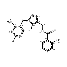 Cc1ncc(Cn2nnc(COC(=O)c3ccccc3Br)c2I)c(N)n1